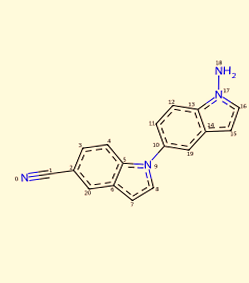 N#Cc1ccc2c(ccn2-c2ccc3c(ccn3N)c2)c1